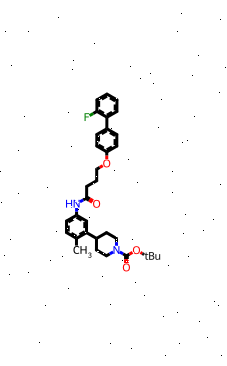 Cc1ccc(NC(=O)CCCOc2ccc(-c3ccccc3F)cc2)cc1C1CCN(C(=O)OC(C)(C)C)CC1